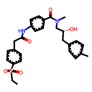 CCS(=O)(=O)c1ccc(CC(=O)Nc2ccc(C(=O)N(C)C[C@H](O)Cc3ccc(C)cc3)cc2)cc1